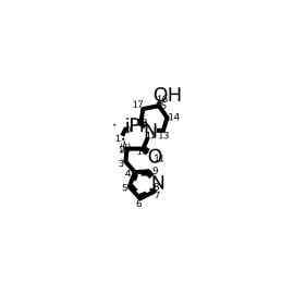 C[C](C)C[C@@H](Cc1cccnc1)C(=O)N1CCC(O)CC1